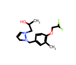 Cc1cc(CN2CC=CN2CC(C)O)ccc1OCC(F)F